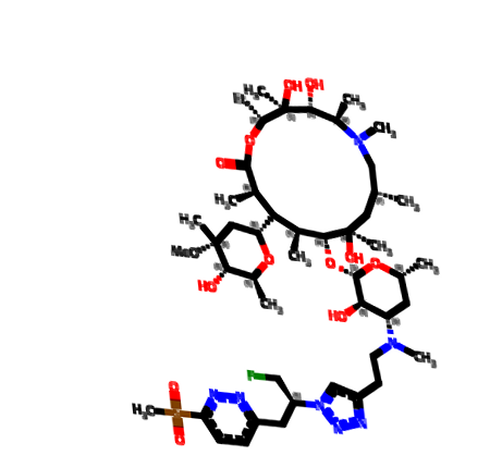 CC[C@H]1OC(=O)[C@H](C)C([C@H]2C[C@@](C)(OC)[C@@H](O)[C@H](C)O2)[C@H](C)[C@@H](O[C@@H]2O[C@H](C)C[C@H](N(C)CCc3cn([C@H](CF)Cc4ccc(S(C)(=O)=O)nn4)nn3)[C@H]2O)[C@](C)(O)C[C@@H](C)CN(C)[C@H](C)[C@@H](O)[C@]1(C)O